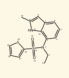 CCN(c1cccc2cc(C)[nH]c12)S(=O)(=O)c1cccs1